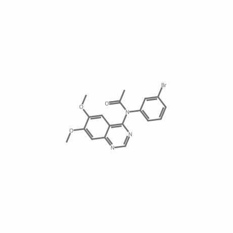 COc1cc2ncnc(N(C(C)=O)c3cccc(Br)c3)c2cc1OC